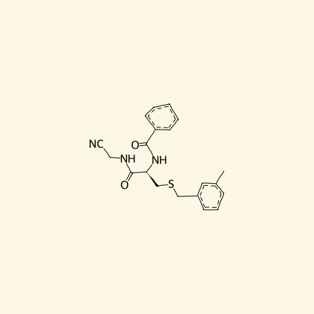 Cc1cccc(CSC[C@H](NC(=O)c2ccccc2)C(=O)NCC#N)c1